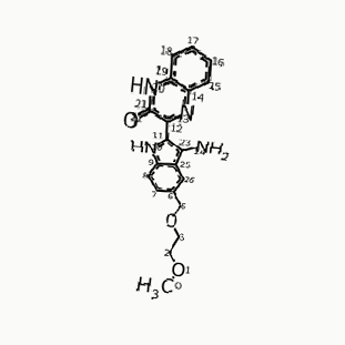 COCCOCc1ccc2[nH]c(-c3nc4ccccc4[nH]c3=O)c(N)c2c1